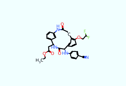 CCOC(=O)CC1NC(=O)[C@H](Nc2ccc(C#N)cc2)c2ccc(OCC(F)F)c(c2)CCC(=O)Nc2cccc1c2